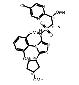 COc1cccc(OC)c1-n1c(NS(=O)(=O)[C@@H](C)[C@H](OC)c2ncc(Cl)cn2)nnc1[C@@H]1CC[C@H](OC)C1